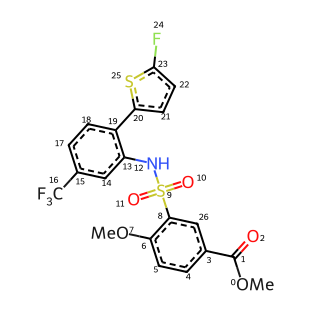 COC(=O)c1ccc(OC)c(S(=O)(=O)Nc2cc(C(F)(F)F)ccc2-c2ccc(F)s2)c1